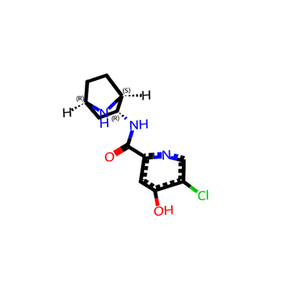 O=C(N[C@@H]1C[C@H]2CC[C@@H]1N2)c1cc(O)c(Cl)cn1